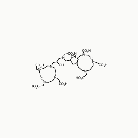 O=C(O)CN1CCN(CC(=O)O)CCN(CC(O)CN(CC(=O)O)CC(O)CN2CCN(CC(=O)O)CCN(CC(=O)O)CCN(C(=O)O)CC2)CCN(CC(=O)O)CC1